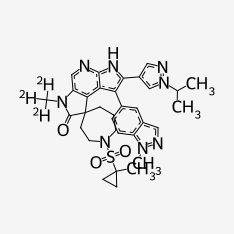 [2H]C([2H])([2H])N1C(=O)C2(CCCN(S(=O)(=O)C3(C)CC3)CC2)c2c1cnc1[nH]c(-c3cnn(C(C)C)c3)c(-c3ccc4c(cnn4C)c3)c21